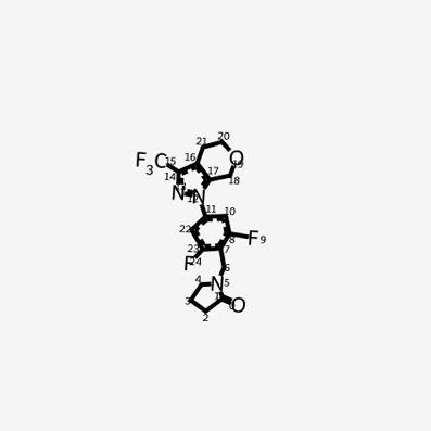 O=C1CCCN1Cc1c(F)cc(-n2nc(C(F)(F)F)c3c2COCC3)cc1F